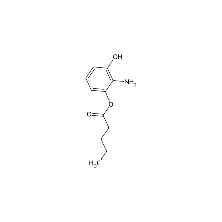 CCCCC(=O)Oc1cccc(O)c1N